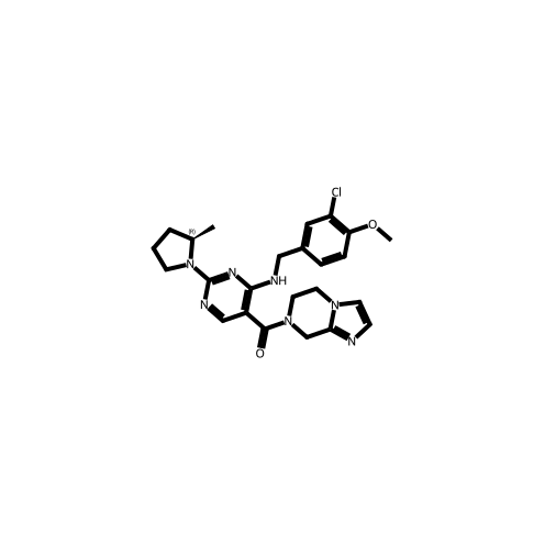 COc1ccc(CNc2nc(N3CCC[C@H]3C)ncc2C(=O)N2CCn3ccnc3C2)cc1Cl